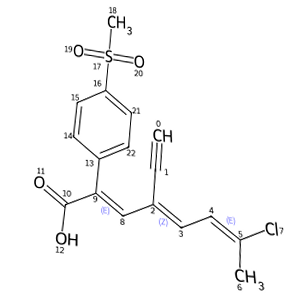 C#CC(=C\C=C(/C)Cl)/C=C(/C(=O)O)c1ccc(S(C)(=O)=O)cc1